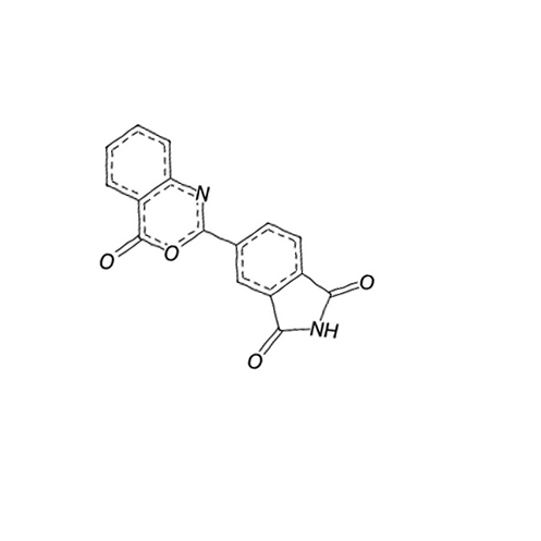 O=C1NC(=O)c2cc(-c3nc4ccccc4c(=O)o3)ccc21